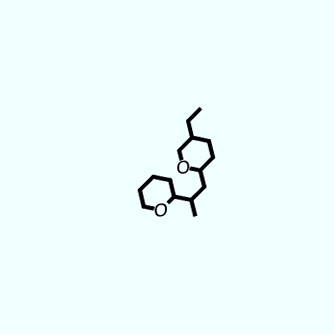 CCC1CCC(CC(C)C2CCCCO2)OC1